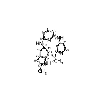 COc1cc(Nc2nccc(Nc3ccc4[nH]c(C)cc4c3)n2)ccn1